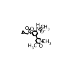 Cc1cc(-c2cc(N[S+](C)[O-])c3oc(=O)n(CC4CC4)c3c2)cn(C)c1=O